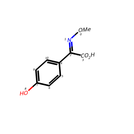 CON=C(C(=O)O)c1ccc(O)cc1